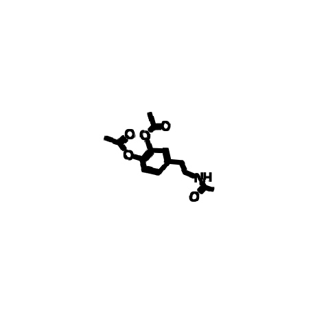 CC(=O)NCCc1ccc(OC(C)=O)c(OC(C)=O)c1